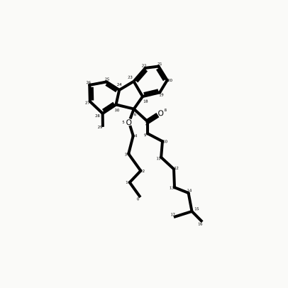 CCCCCOC1(C(=O)CCCCCCC(C)C)c2ccccc2-c2cccc(C)c21